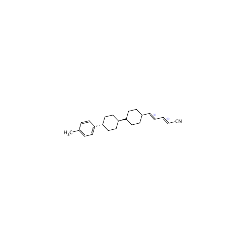 Cc1ccc([C@H]2CC[C@H](C3CCC(/C=C/C=C/C#N)CC3)CC2)cc1